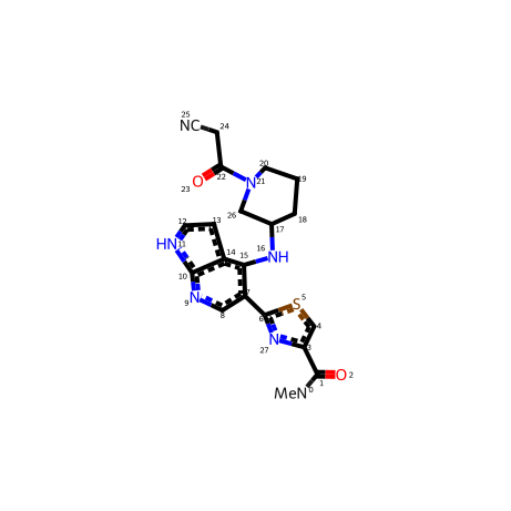 CNC(=O)c1csc(-c2cnc3[nH]ccc3c2NC2CCCN(C(=O)CC#N)C2)n1